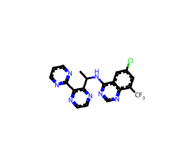 CC(Nc1ncnc2c(C(F)(F)F)cc(Cl)cc12)c1nccnc1-c1ncccn1